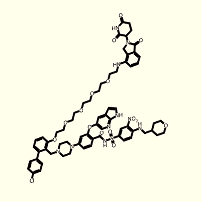 O=C1CCC(N2Cc3c(NCCOCCOCCOCCOCCOc4cccc(-c5ccc(Cl)cc5)c4CN4CCN(c5ccc(C(=O)NS(=O)(=O)c6ccc(NCC7CCOCC7)c([N+](=O)[O-])c6)c(Oc6cnc7[nH]ccc7c6)c5)CC4)cccc3C2=O)C(=O)N1